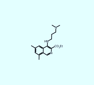 CCOC(=O)c1ncc2c(C)cc(C)cc2c1NCCCN(C)C